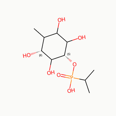 CC1C(O)C(O)[C@H](OP(=O)(O)C(C)C)C(O)[C@@H]1O